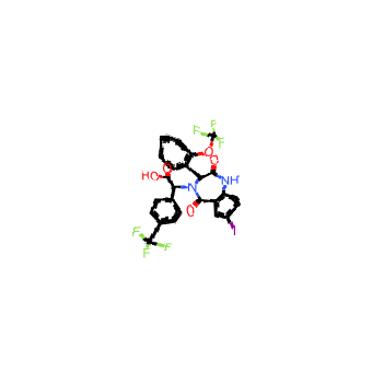 O=C(O)C(c1ccc(C(F)(F)F)cc1)N1C(=O)c2cc(I)ccc2NC(=O)C1c1ccccc1OC(F)(F)F